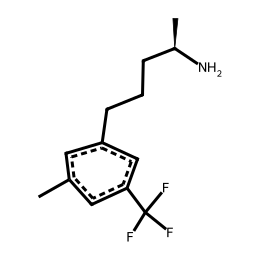 Cc1cc(CCC[C@@H](C)N)cc(C(F)(F)F)c1